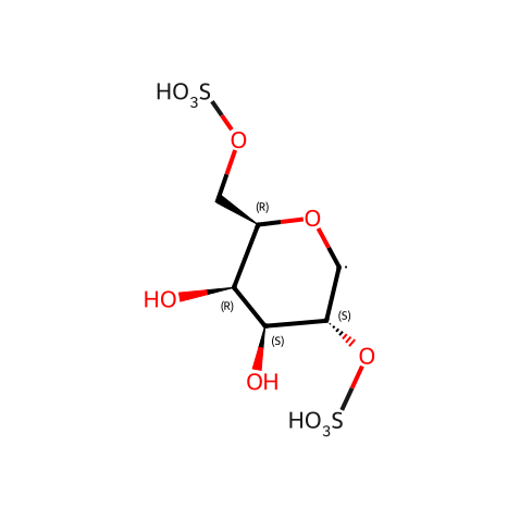 O=S(=O)(O)OC[C@H]1O[CH][C@H](OS(=O)(=O)O)[C@@H](O)[C@H]1O